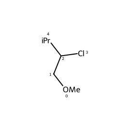 COCC(Cl)C(C)C